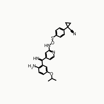 CC(C)Oc1ccc(N)c(C(=N)c2ccnc(NOSc3ccc(C4(C#N)CC4)cc3)c2)c1